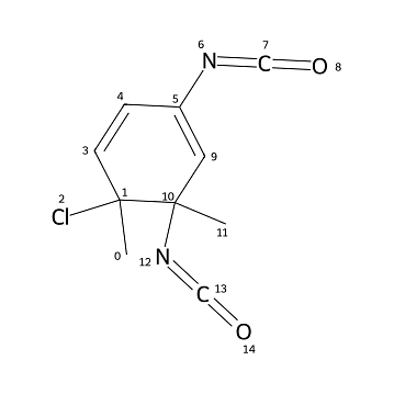 CC1(Cl)C=CC(N=C=O)=CC1(C)N=C=O